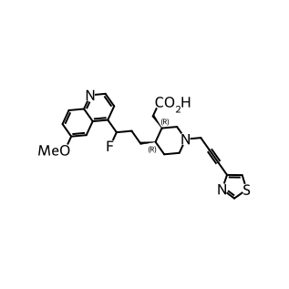 COc1ccc2nccc(C(F)CC[C@@H]3CCN(CC#Cc4cscn4)C[C@@H]3CC(=O)O)c2c1